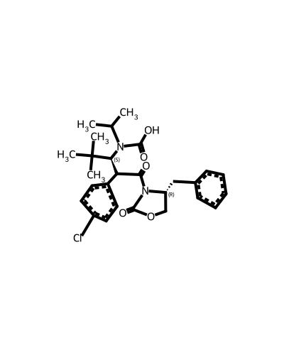 CC(C)N(C(=O)O)[C@@H](C(C(=O)N1C(=O)OC[C@H]1Cc1ccccc1)c1ccc(Cl)cc1)C(C)(C)C